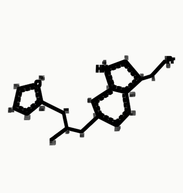 CC(C)Cc1c[nH]c2cc(CC(C)Cc3ccco3)ccc12